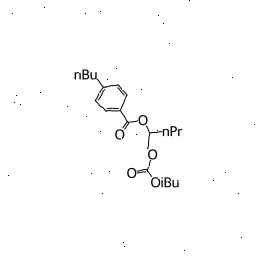 CCCCc1ccc(C(=O)OC(CCC)COC(=O)OCC(C)C)cc1